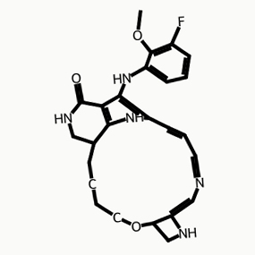 COc1c(F)cccc1Nc1c2[nH]c3c1C(=O)NCC3CCCCOC1CNC1=CN=CC=C2